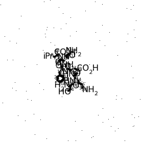 CC(C)C[C@H](NC(=O)[C@H](CCC(N)=O)NC(=O)[C@H](Cc1ccccc1)NC(=O)[C@H](CCC(=O)O)NC(=O)[C@H](CCCCN)NC(=O)[C@@H](N)CO)C(=O)O